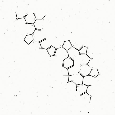 COC(=O)N[C@H](C(=O)N1CCC[C@H]1C(=O)Nc1nc([C@@H]2CC[C@@H](c3csc(NC(=O)[C@@H]4CCCN4C(=O)[C@H]([C@@H](C)OC)N(C)C(=O)OC)n3)N2c2ccc(C(C)(C)C)cc2)cs1)[C@@H](C)OC